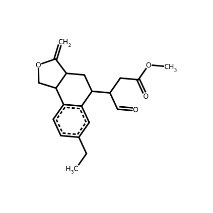 C=C1OCC2c3ccc(CC)cc3C(C(C=O)CC(=O)OC)CC12